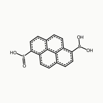 O=S(O)c1ccc2ccc3c(B(O)O)ccc4ccc1c2c43